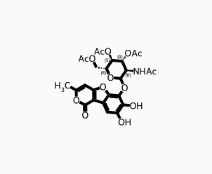 CC(=O)N[C@H]1C(Oc2c(O)c(O)cc3c2oc2cc(C)oc(=O)c23)O[C@H](COC(C)=O)[C@@H](OC(C)=O)[C@@H]1OC(C)=O